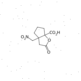 O=C1CC2(C[N+](=O)[O-])CCCC2(C(=O)O)O1